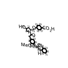 COc1cc(CC(=O)N2C[C@@H](O)C[C@H]2COc2ccc(C(=O)O)cc2)ccc1NC(=O)Nc1ccccc1Cl